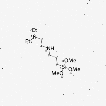 CCN(CC)CCNCCC[Si](OC)(OC)OC